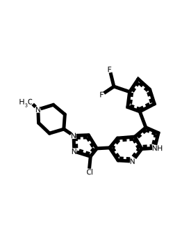 CN1CCC(n2cc(-c3cnc4[nH]cc(-c5cccc(C(F)F)c5)c4c3)c(Cl)n2)CC1